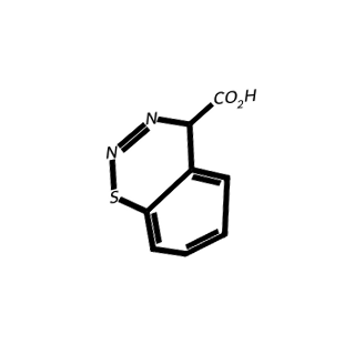 O=C(O)C1N=NSc2ccccc21